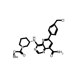 CC(C)(C)OC(=O)N1CCC[C@H](Nc2ncnc3c(C(N)=O)cc(-c4ccc(CCl)cc4)nc23)C1